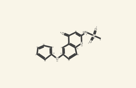 CS(=O)(=O)Nc1cc(=O)c2cc(Oc3ccccc3)ccc2o1